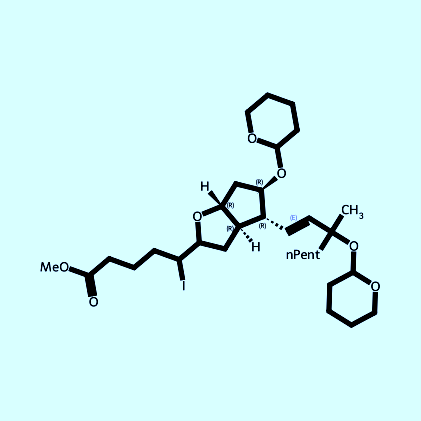 CCCCCC(C)(/C=C/[C@@H]1[C@H]2CC(C(I)CCCC(=O)OC)O[C@@H]2C[C@H]1OC1CCCCO1)OC1CCCCO1